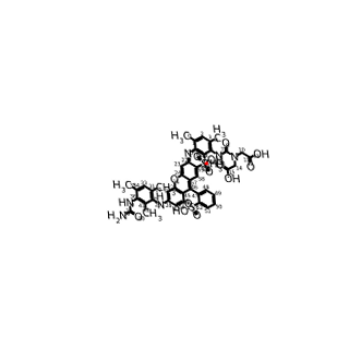 Cc1cc(C)c(NC(=O)N(CC(=O)O)CC(=O)O)c(C)c1/N=c1/cc2oc3cc(Nc4c(C)cc(C)c(NC(N)=O)c4C)ccc3c(-c3ccccc3S(=O)(=O)O)c-2cc1S(=O)(=O)O